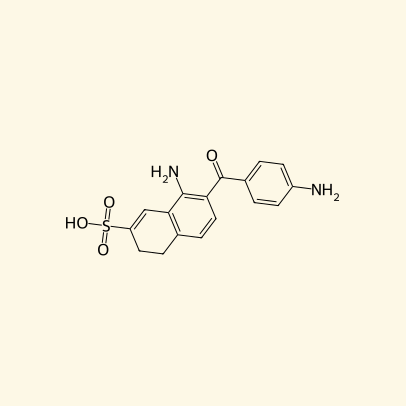 Nc1ccc(C(=O)c2ccc3c(c2N)C=C(S(=O)(=O)O)CC3)cc1